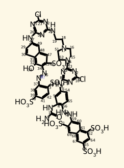 NC(=O)Nc1cc(Nc2nc(Cl)nc(N3CCN(CCNc4nc(Cl)nc(Nc5ccc6c(O)c(/N=N/c7cc(S(=O)(=O)O)ccc7S(=O)(=O)O)c(S(=O)(=O)O)cc6c5)n4)CC3)n2)ccc1NNc1cc2c(S(=O)(=O)O)cc(S(=O)(=O)O)cc2cc1S(=O)(=O)O